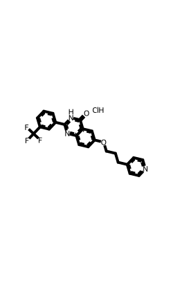 Cl.O=c1[nH]c(-c2cccc(C(F)(F)F)c2)nc2ccc(OCCCc3ccncc3)cc12